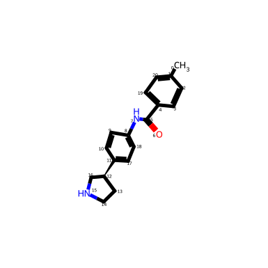 Cc1ccc(C(=O)Nc2ccc([C@H]3CCNC3)cc2)cc1